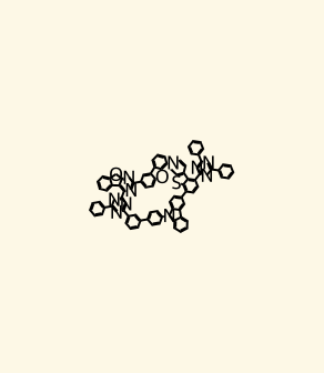 c1ccc(-c2nc(-c3cccc(-c4ccc(-n5c6ccccc6c6cc(-c7ccc(-c8nc(-c9ccccc9)nc(-c9ccccc9)n8)c8c7sc7cnccc78)ccc65)cc4)c3)nc(-c3nc(-c4ccc5oc6ccccc6c5c4)nc4oc5ccccc5c34)n2)cc1